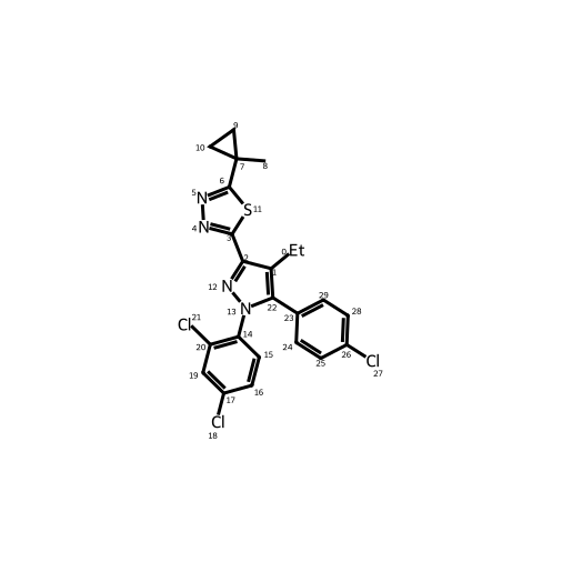 CCc1c(-c2nnc(C3(C)CC3)s2)nn(-c2ccc(Cl)cc2Cl)c1-c1ccc(Cl)cc1